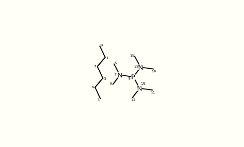 CCCCCC.CN(C)P(N(C)C)N(C)C